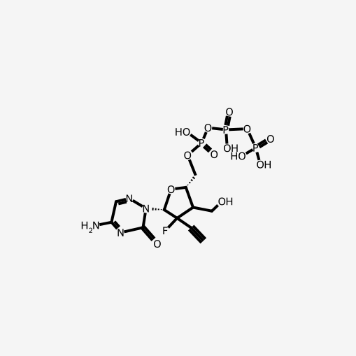 C#CC1(F)C(CO)[C@@H](COP(=O)(O)OP(=O)(O)OP(=O)(O)O)O[C@H]1n1ncc(N)nc1=O